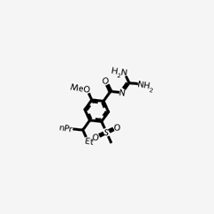 CCCC(CC)c1cc(OC)c(C(=O)N=C(N)N)cc1S(C)(=O)=O